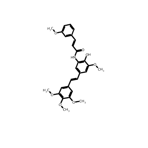 COc1cccc(/C=C/C(=O)Nc2cc(C=Cc3cc(OC)c(OC)c(OC)c3)cc(OC)c2O)c1